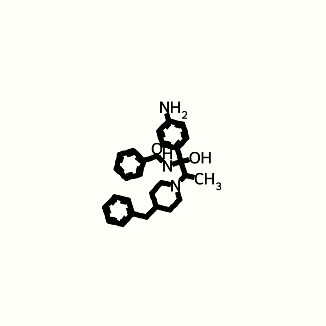 CC(N1CCC(Cc2ccccc2)CC1)C(O)(NC(=O)c1ccccc1)c1ccc(N)cc1